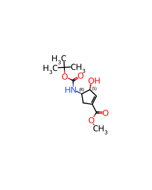 COC(=O)C1=C[C@H](O)[C@H](NC(=O)OC(C)(C)C)C1